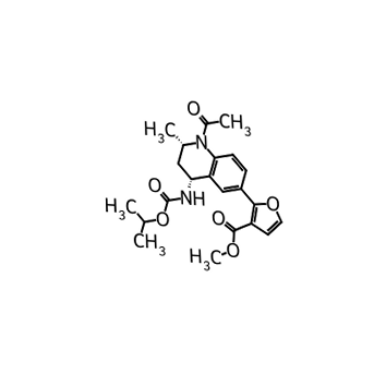 COC(=O)c1ccoc1-c1ccc2c(c1)[C@H](NC(=O)OC(C)C)C[C@H](C)N2C(C)=O